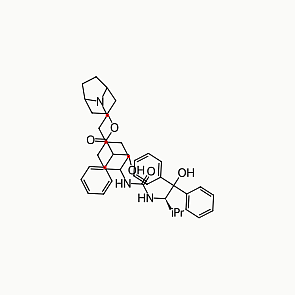 CC(C)[C@@H](NC(=O)NC1CCC(CCN2C3CCC2CC(OC(=O)C(CO)c2ccccc2)C3)CC1)C(O)(c1ccccc1)c1ccccc1